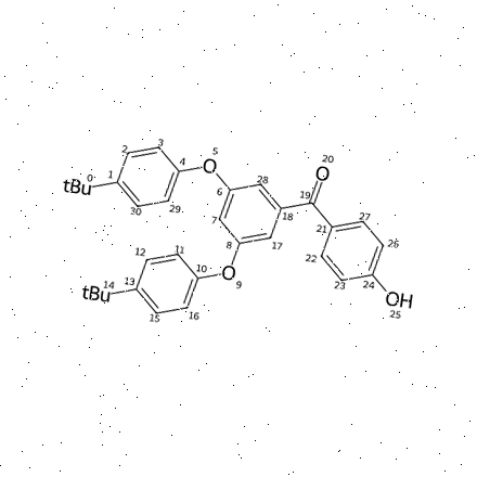 CC(C)(C)c1ccc(Oc2cc(Oc3ccc(C(C)(C)C)cc3)cc(C(=O)c3ccc(O)cc3)c2)cc1